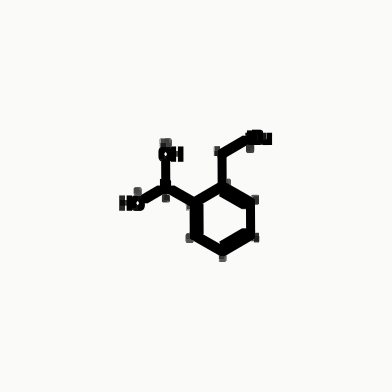 CC(C)(C)Cc1ccccc1B(O)O